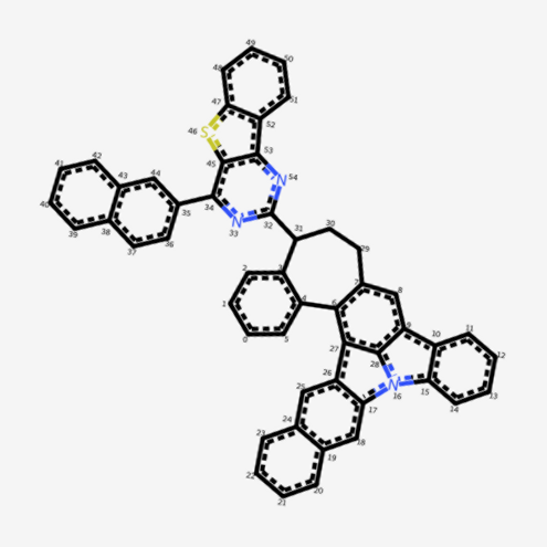 c1ccc2c(c1)-c1c(cc3c4ccccc4n4c5cc6ccccc6cc5c1c34)CCC2c1nc(-c2ccc3ccccc3c2)c2sc3ccccc3c2n1